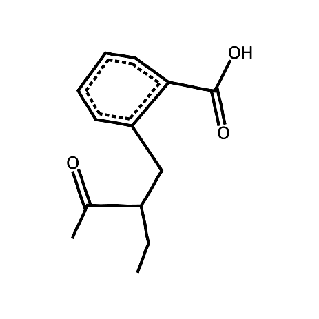 CCC(Cc1ccccc1C(=O)O)C(C)=O